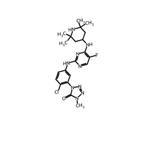 Cn1nnn(-c2cc(Nc3ncc(F)c(NC4CC(C)(C)NC(C)(C)C4)n3)ccc2Cl)c1=O